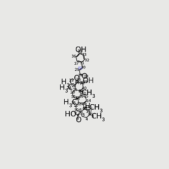 C[C@H]1[C@H](C)CC[C@]2(C(=O)O)CCC3C(=CCC4[C@@]3(C)CCC3C(C)(C)[C@@H](OC(=O)/C=C/c5ccc(O)cc5)[C@H](O)C[C@@]34C)[C@H]12